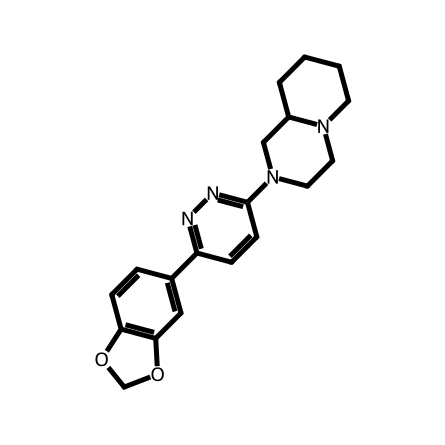 c1cc2c(cc1-c1ccc(N3CCN4CCCCC4C3)nn1)OCO2